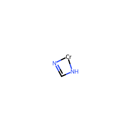 C1=[N][Cr][NH]1